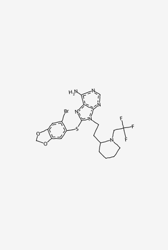 Nc1ncnc2c1nc(Sc1cc3c(cc1Br)OCO3)n2CCC1CCCCN1CC(F)(F)F